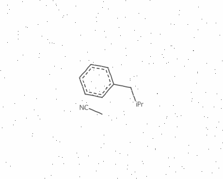 CC#N.CC(C)Cc1ccccc1